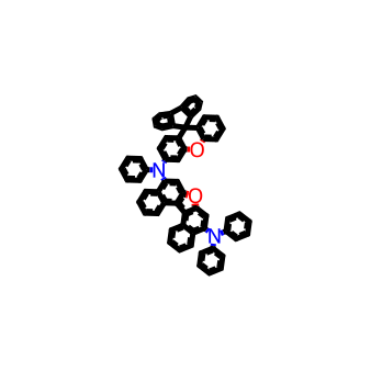 c1ccc(N(c2ccccc2)c2cc3oc4cc(N(c5ccccc5)c5ccc6c(c5)Oc5ccccc5C65c6ccccc6-c6ccccc65)c5ccccc5c4c3c3ccccc23)cc1